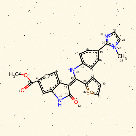 COC(=O)c1ccc2c(c1)NC(=O)C2=C(Nc1ccc(-c2nccn2C)cc1)c1cccs1